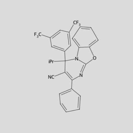 CC(C)C1(c2cc(C(F)(F)F)cc(C(F)(F)F)c2)C(C#N)=C(c2ccccc2)N=C2Oc3ccccc3N21